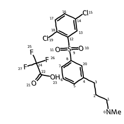 CNCCCc1cccc(S(=O)(=O)c2cc(Cl)ccc2Cl)c1.O=C(O)C(F)(F)F